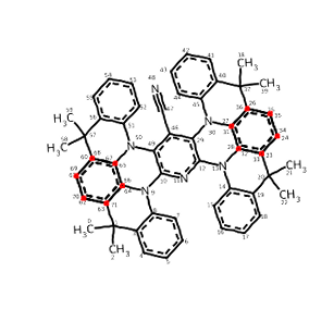 CC1(C)c2ccccc2N(c2nc(N3c4ccccc4C(C)(C)c4ccccc43)c(N3c4ccccc4C(C)(C)c4ccccc43)c(C#N)c2N2c3ccccc3C(C)(C)c3ccccc32)c2ccccc21